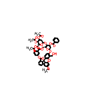 COc1ccc2c(c1)Oc1c(ccc(OC3C[C@@H](OC(=O)c4ccccc4)[C@@H](O[C@@H]4C[C@@H](OC(C)=O)[C@@H](OC(C)=O)[C@@H](COC(C)=O)O4)[C@@H](COC(=O)c4ccccc4)O3)c1CO)C21OC(=O)c2ccccc21